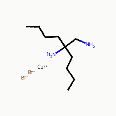 CCCCC(N)(CN)CCCC.[Br-].[Br-].[Cu+2]